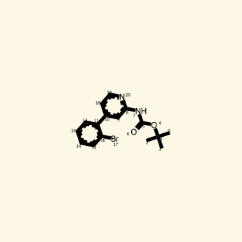 CC(C)(C)OC(=O)Nc1cc(-c2[c]cccc2Br)ccn1